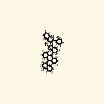 c1ccc(-c2nc3ccccc3c3nc4sc5c(-c6c7ccccc7c(-c7cccc8ccccc78)c7ccccc67)cccc5n4c23)cc1